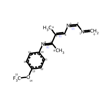 C=N\C=N/C=C(C)/C(C)=N/c1ccc(OC(F)(F)F)cc1